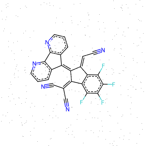 N#C/C=C1/C(=C2c3cccnc3-c3ncccc32)C(=C(C#N)C#N)c2c(F)c(F)c(F)c(F)c21